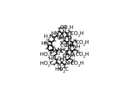 NC(=O)C[C@H](NC(=O)[C@H](CC(=O)O)NC(=O)[C@H](CC(=O)O)NC(=O)[C@H](CC(=O)O)NC(=O)[C@H](CC(=O)O)NC(=O)[C@H](CC(=O)O)NC(=O)[C@H](CC(=O)O)NC(=O)[C@H](CC(=O)O)NC(=O)[C@H](CC(=O)O)NC(=O)[C@H](CC(=O)O)NC(=O)[C@@H](N)Cc1c[nH]c2ccccc12)C(=O)O